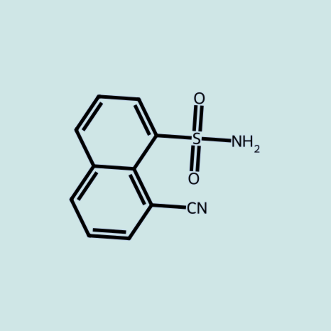 N#Cc1cccc2cccc(S(N)(=O)=O)c12